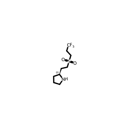 O=S(=O)(CC[C@@H]1CCCN1)CCC(F)(F)F